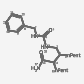 CCCCCC(CNC(=O)NCc1ccccc1)C(CCCCC)C(N)=O